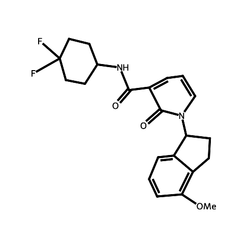 COc1cccc2c1CCC2n1cccc(C(=O)NC2CCC(F)(F)CC2)c1=O